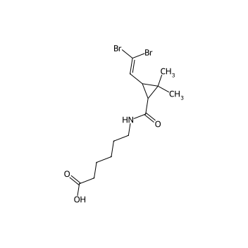 CC1(C)C(C=C(Br)Br)C1C(=O)NCCCCCC(=O)O